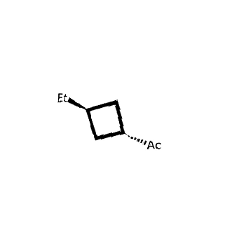 CC[C@H]1C[C@H](C(C)=O)C1